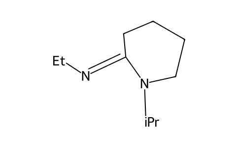 CC/N=C1\CCCCN1C(C)C